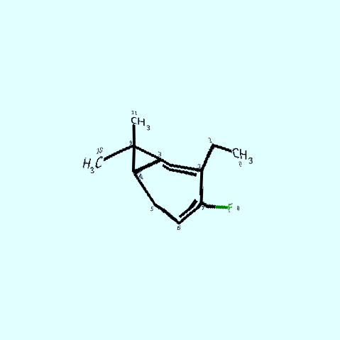 CCC1=C2C(CC=C1F)C2(C)C